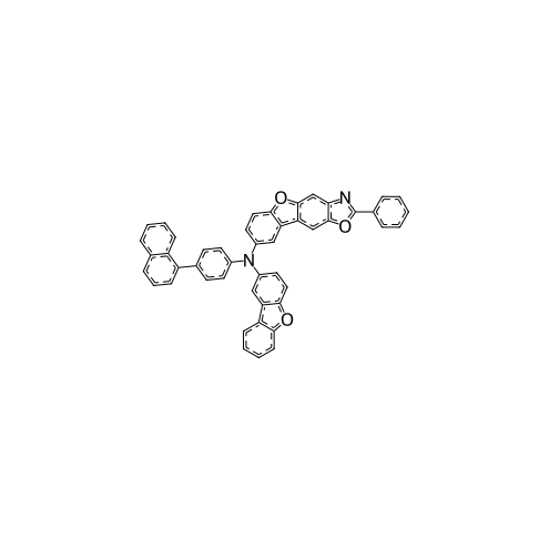 c1ccc(-c2nc3cc4oc5ccc(N(c6ccc(-c7cccc8ccccc78)cc6)c6ccc7oc8ccccc8c7c6)cc5c4cc3o2)cc1